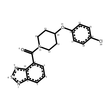 O=C(c1cccc2nsnc12)N1CCC(Oc2ccc(Cl)cc2)CC1